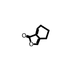 O=C1OC=C2CCCC=C12